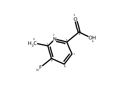 Cc1nc(C(=O)O)ccc1F